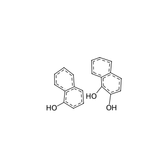 Oc1ccc2ccccc2c1O.Oc1cccc2ccccc12